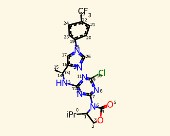 CC(C)C1COC(=O)N1c1nc(Cl)nc(N[C@@H](C)c2cn(-c3ccc(C(F)(F)F)cc3)cn2)n1